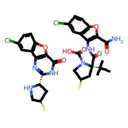 CC(C)(C)[C@]1(C(=O)Nc2c(C(N)=O)oc3ccc(Cl)cc23)C[C@@H](F)CN1C(=O)O.O=c1[nH]c([C@@H]2C[C@@H](F)CN2)nc2c1oc1ccc(Cl)cc12